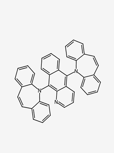 C1=Cc2ccccc2N(c2c3ccccc3c(N3c4ccccc4C=Cc4ccccc43)c3ncccc23)c2ccccc21